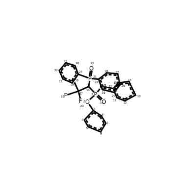 O=P(Oc1ccccc1)(Oc1ccccc1)C(C(F)(F)F)P(=O)(c1ccccc1)c1ccccc1